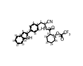 N#C[C@H](Cc1ccc(-c2cc3ccccc3[nH]2)cc1)NC(=O)[C@@H]1CCCCN1OC(=O)C(F)(F)F